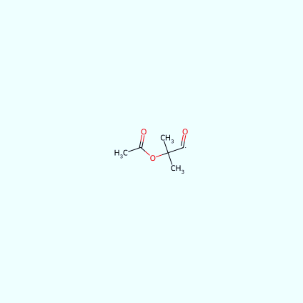 CC(=O)OC(C)(C)[C]=O